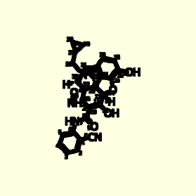 N#Cc1ccccc1NC(=O)C1=C(O)[C@@H]2Oc3c(O)ccc4c3[C@@]23CCN(CC2CC2)[C@H](C4)[C@]3(ON)C1